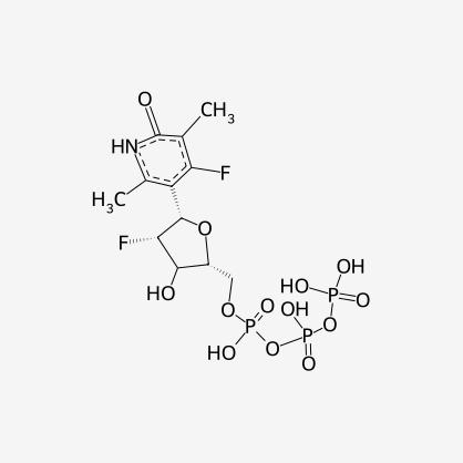 Cc1[nH]c(=O)c(C)c(F)c1[C@@H]1O[C@H](COP(=O)(O)OP(=O)(O)OP(=O)(O)O)C(O)[C@@H]1F